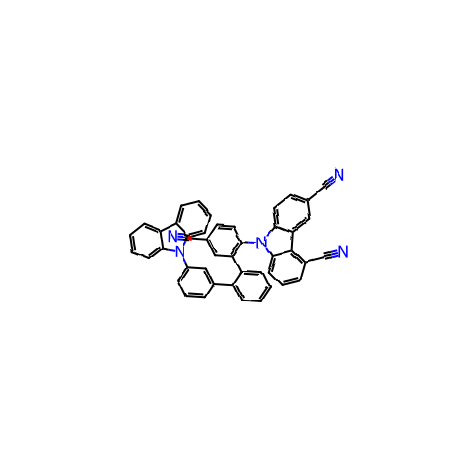 N#Cc1ccc(-n2c3ccc(C#N)cc3c3c(C#N)cccc32)c(-c2ccccc2-c2cccc(-n3c4ccccc4c4ccccc43)c2)c1